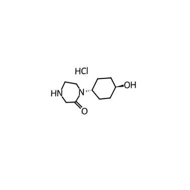 Cl.O=C1CNCCN1[C@H]1CC[C@H](O)CC1